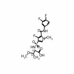 CO[C@H](C)[C@H](NS(=O)(=O)c1cn(C)c(C(=O)Nc2ccc(F)c(F)c2)c1F)C(=O)O